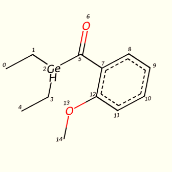 C[CH2][GeH]([CH2]C)[C](=O)c1ccccc1OC